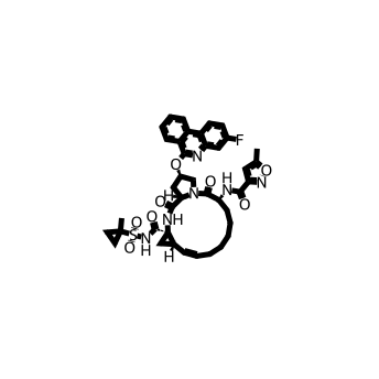 Cc1cc(C(=O)N[C@H]2CCCCCC=C[C@@H]3C[C@@]3(C(=O)NS(=O)(=O)C3(C)CC3)NC(=O)[C@@H]3C[C@@H](Oc4nc5cc(F)ccc5c5ccccc45)CN3C2=O)no1